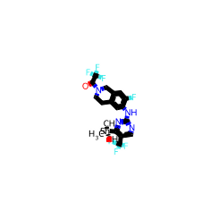 [CH3][Sn]([CH3])([CH3])[c]1nc(Nc2cc3c(cc2F)CN(C(=O)C(F)(F)F)CC3)ncc1C(F)(F)F